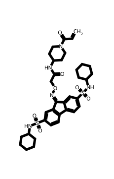 C=CC(=O)N1CCC(NC(=O)CON=C2c3cc(S(=O)(=O)NC4CCCCC4)ccc3-c3ccc(S(=O)(=O)NC4CCCCC4)cc32)CC1